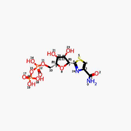 NC(=O)c1csc([C@@H]2O[C@H](COP(=O)(O)OP(=O)(O)O)[C@@H](O)[C@H]2O)n1